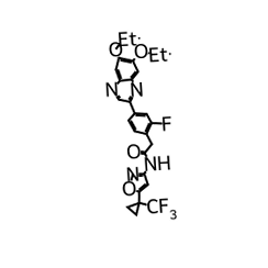 [CH2][CH]Oc1cc2ncc(-c3ccc(CC(=O)Nc4cc(C5(C(F)(F)F)CC5)on4)c(F)c3)nc2cc1O[CH][CH2]